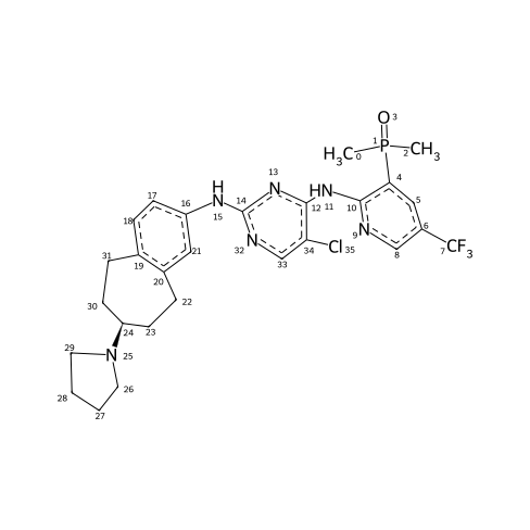 CP(C)(=O)c1cc(C(F)(F)F)cnc1Nc1nc(Nc2ccc3c(c2)CC[C@@H](N2CCCC2)CC3)ncc1Cl